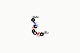 COc1ccc(CN(C)c2cc(Oc3ccc4c(c3)CC(C(=O)Oc3cccc(C(C)(C)C)c3)CC4)ccn2)cc1